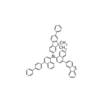 CC1(C)c2cc(-c3ccccc3)ccc2-c2ccc(N(c3ccc(-c4ccc(-c5ccccc5)cc4)c4ccccc34)c3ccc(-c4ccc5sc6ccccc6c5c4)c4ccccc34)cc21